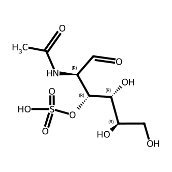 CC(=O)N[C@@H](C=O)[C@@H](OS(=O)(=O)O)[C@H](O)[C@H](O)CO